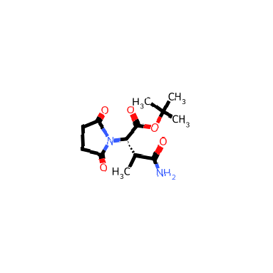 CC(C(N)=O)[C@@H](C(=O)OC(C)(C)C)N1C(=O)CCC1=O